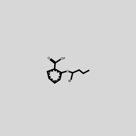 CCCC(Br)Oc1ccccc1C(=O)O